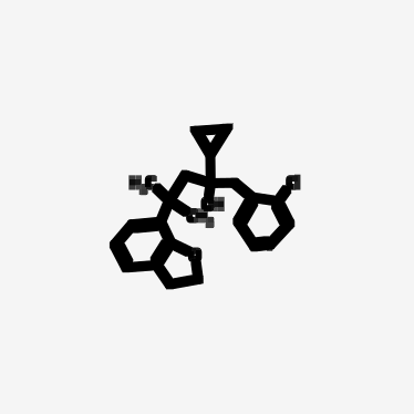 CC(C)(CC(O)(Cc1cc[c]cc1Cl)C1CC1)c1cccc2c1OCC2